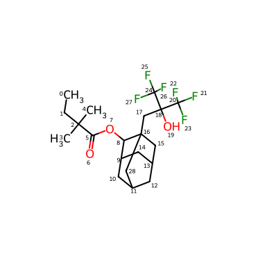 CCC(C)(C)C(=O)OC1C2CC3CC(C2)CC1(CC(O)(C(F)(F)F)C(F)(F)F)C3